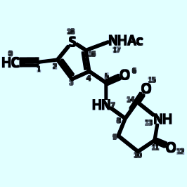 C#Cc1cc(C(=O)NC2CCC(=O)NC2=O)c(NC(C)=O)s1